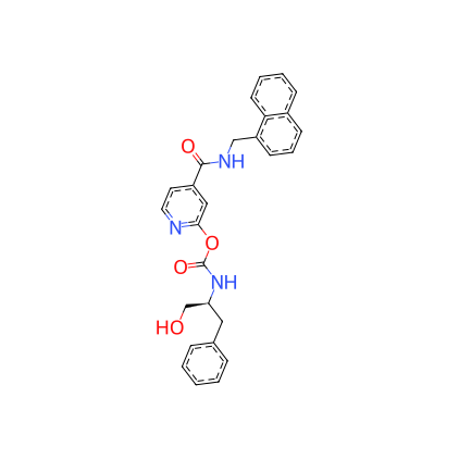 O=C(N[C@H](CO)Cc1ccccc1)Oc1cc(C(=O)NCc2cccc3ccccc23)ccn1